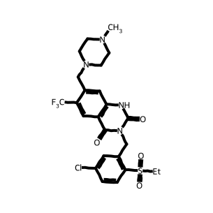 CCS(=O)(=O)c1ccc(Cl)cc1Cn1c(=O)[nH]c2cc(CN3CCN(C)CC3)c(C(F)(F)F)cc2c1=O